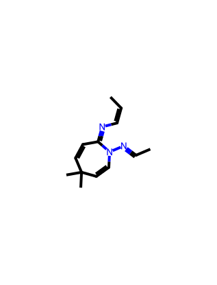 C/C=C\N=C1\C=CC(C)(C)C=CN1/N=C/C